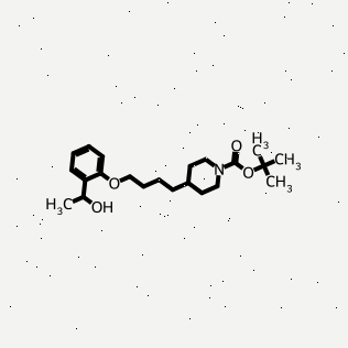 CC(O)c1ccccc1OCCCCC1CCN(C(=O)OC(C)(C)C)CC1